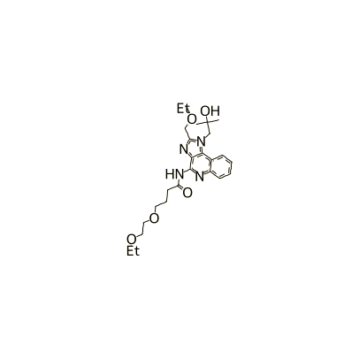 CCOCCOCCCC(=O)Nc1nc2ccccc2c2c1nc(COCC)n2CC(C)(C)O